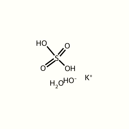 O.O=S(=O)(O)O.[K+].[OH-]